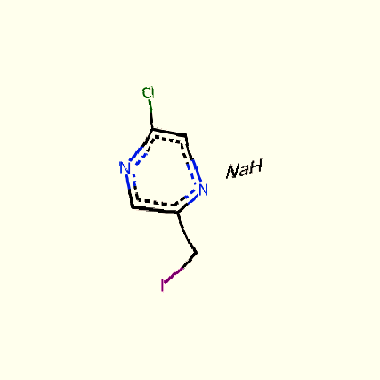 Clc1cnc(CI)cn1.[NaH]